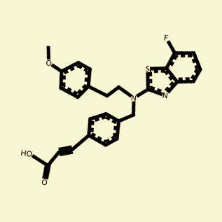 COc1ccc(CCN(Cc2ccc(C#CC(=O)O)cc2)c2nc3cccc(F)c3s2)cc1